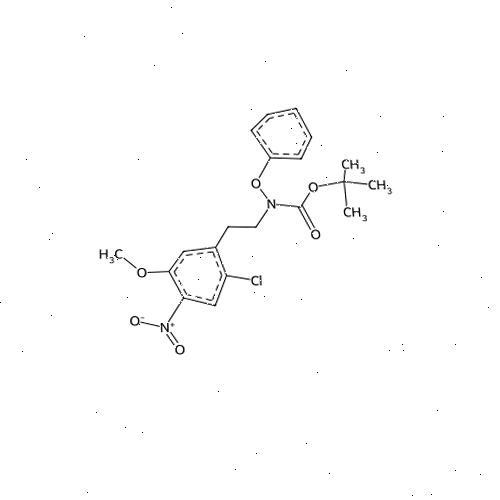 COc1cc(CCN(Oc2ccccc2)C(=O)OC(C)(C)C)c(Cl)cc1[N+](=O)[O-]